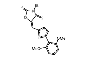 CCN1C(=S)OC(=Cc2ccc(-c3c(OC)cccc3OC)o2)C1=S